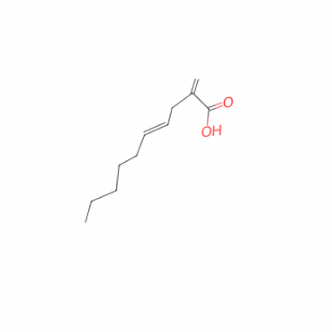 C=C(CC=CCCCCC)C(=O)O